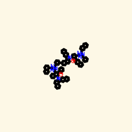 c1ccc(-c2nc(-c3ccc4ccccc4c3)nc(-c3ccc(-n4c5cc6ccccc6cc5c5c6cc(-c7cccc(-c8nc(-c9cccc%10ccccc9%10)nc(-c9c%10ccccc%10c(-n%10c%11cc%12ccccc%12cc%11c%11c%12ccccc%12ccc%11%10)c%10oc%11ccccc%11c9%10)n8)c7)ccc6ccc54)c4oc5cc6ccccc6cc5c34)n2)cc1